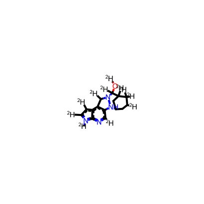 [2H]OC([2H])(N1Nc2c([2H])nc3c(c([2H])c([2H])n3[2H])c2C1[2H])C1([2H])CCCC([2H])C1([2H])[2H]